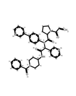 C=CC(=O)N1CCCC1C(=O)N(c1ccc(-c2cccnc2)cc1)C(C(=O)NC1CCN(C(=O)c2ccccc2)CC1)c1cccnc1